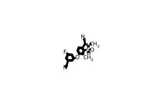 Cc1c(Oc2cc(F)cc(C#N)c2)ccc2c1S(=O)(=O)N(C)C2C#N